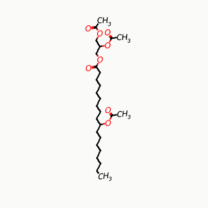 CCCCCCCCC(CCCCCCCCC(=O)OCC(COC(C)=O)OC(C)=O)OC(C)=O